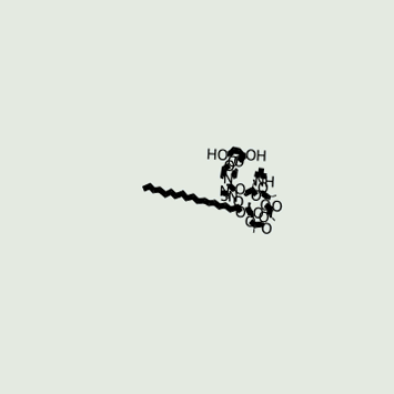 CCCCCCCCCCCCCCCCCC(=O)O[C@@H](C)C(=O)O[C@@H](C)C(=O)O[C@@H](C)C(=O)O[C@@H](C)C(=O)O[C@@H](CNC(C)(C)C)COc1nsnc1N1CCOCC1.O=C(O)/C=C\C(=O)O